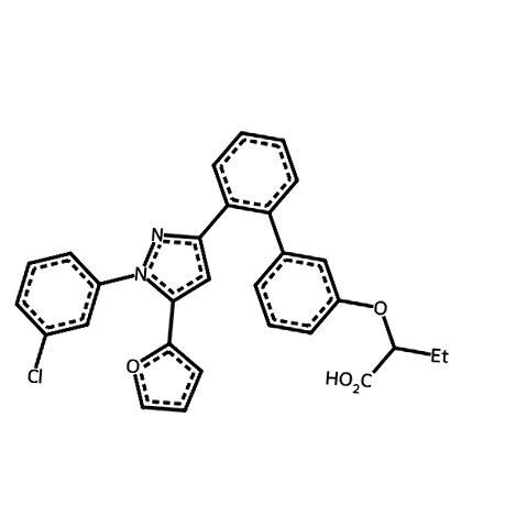 CCC(Oc1cccc(-c2ccccc2-c2cc(-c3ccco3)n(-c3cccc(Cl)c3)n2)c1)C(=O)O